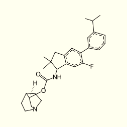 CC(C)c1cccc(-c2cc3c(cc2F)C(NC(=O)O[C@H]2CN4CCC2CC4)C(C)(C)C3)c1